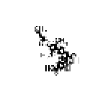 CCCCCC(=O)OCc1cc(OC)c(-c2ccc(CC(NC(=O)c3c(Cl)cc(C(=O)O)cc3Cl)C(=O)O)cc2)c(OC)c1